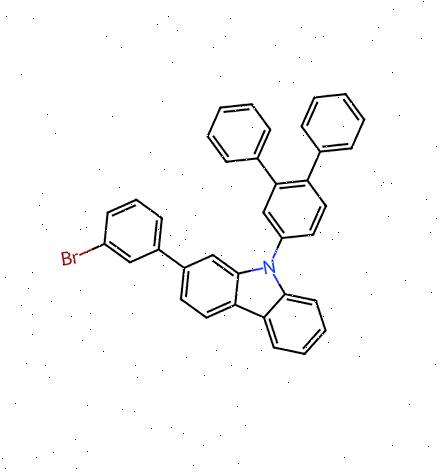 Brc1cccc(-c2ccc3c4ccccc4n(-c4ccc(-c5ccccc5)c(-c5ccccc5)c4)c3c2)c1